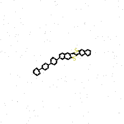 c1ccc(-c2ccc(-c3ccc(-c4ccc5cc6c(cc5c4)sc4c5cc7ccccc7cc5sc64)cc3)cc2)cc1